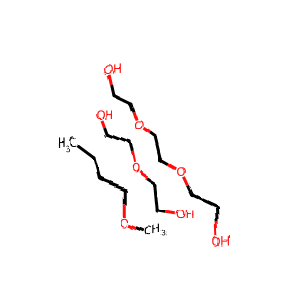 CCCCOC.OCCOCCO.OCCOCCOCCO